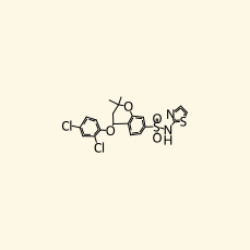 CC1(C)CC(Oc2ccc(Cl)cc2Cl)c2ccc(S(=O)(=O)Nc3nccs3)cc2O1